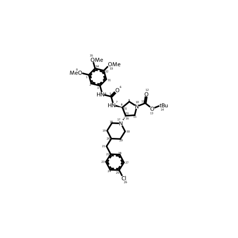 COc1cc(NC(=O)N[C@H]2CN(C(=O)OC(C)(C)C)C[C@@H]2N2CCC(Cc3ccc(Cl)cc3)CC2)cc(OC)c1OC